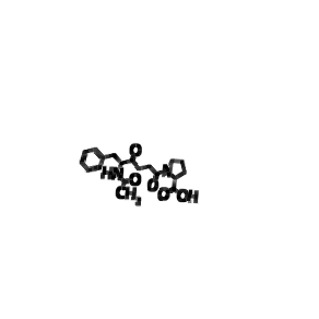 CC(=O)N[C@@H](Cc1ccccc1)C(=O)CCC(=O)N1CCC[C@H]1C(=O)O